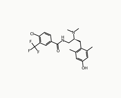 Cc1cc(O)cc(C)c1C[C@@H](CNC(=O)c1ccc(Cl)c(C(F)(F)F)c1)N(C)C